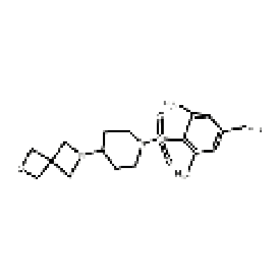 Cc1cc(C)c(S(=O)(=O)N2CCC(N3CC4(COC4)C3)CC2)c(C)c1